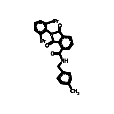 Cc1ccc(CNC(=O)c2cccc3c2C(=O)N(c2c(C(C)C)cccc2C(C)C)C3=O)cc1